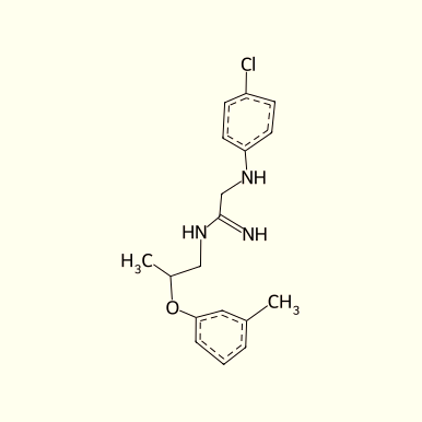 Cc1cccc(OC(C)CNC(=N)CNc2ccc(Cl)cc2)c1